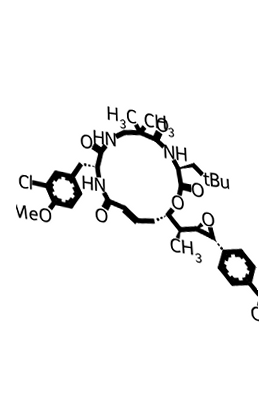 COc1ccc(C[C@H]2NC(=O)/C=C/C[C@@H]([C@H](C)[C@H]3O[C@@H]3c3ccc(CO)cc3)OC(=O)[C@H](CC(C)(C)C)NC(=O)C(C)(C)CNC2=O)cc1Cl